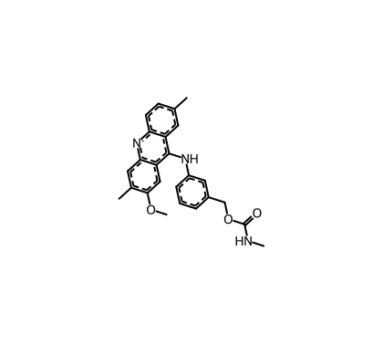 CNC(=O)OCc1cccc(Nc2c3cc(C)ccc3nc3cc(C)c(OC)cc23)c1